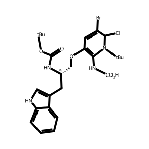 CC(C)(C)OC(=O)N[C@H](COC1=C(NC(=O)O)N(C(C)(C)C)C(Cl)C(Br)=C1)Cc1c[nH]c2ccccc12